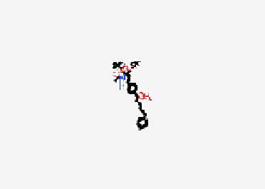 CC(=O)NC(CCc1ccc(C(O)CCCCc2ccccc2)cc1)(CO[Si](C)(C)C(C)(C)C)CO[Si](C)(C)C(C)(C)C